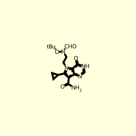 CC(C)(C)ON(C=O)CCn1c(C2CC2)c(C(N)=O)c2nc[nH]c(=O)c21